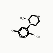 C[C@@H]1CNCCN1c1cc(Cl)nnc1Cl.Cl